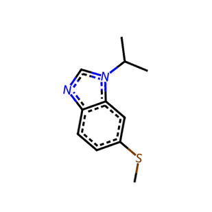 CSc1ccc2ncn(C(C)C)c2c1